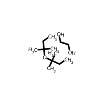 CCC(C)(C)OC(C)(C)CC.OCCO